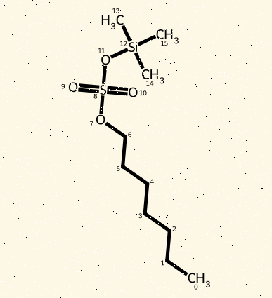 CCCCCCCOS(=O)(=O)O[Si](C)(C)C